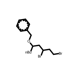 CCCCC(CC(Br)CCBr)OCc1ccccc1